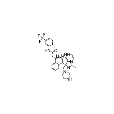 CC1=NC(CN2CCNCC2)(c2ccc(CC(=O)Nc3cccc(C(F)(F)F)c3)c3ccccc23)C2=C(N)NC=CN12